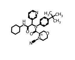 CC(C)(C)c1ccc(N(C(=O)[C@H]2COCCN2C#N)C(C(=O)NC2CCCCC2)c2cccnc2)cc1